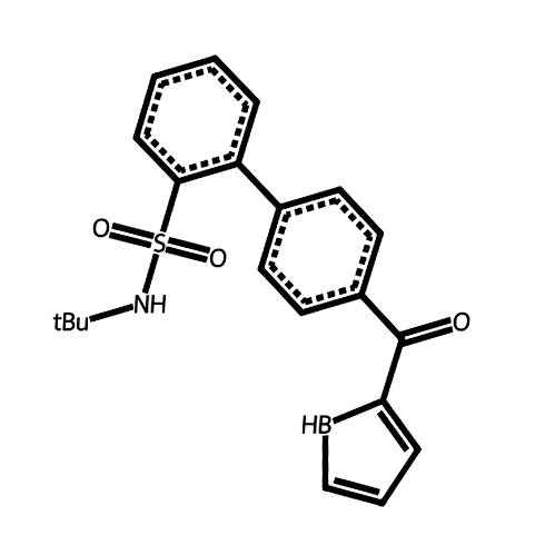 CC(C)(C)NS(=O)(=O)c1ccccc1-c1ccc(C(=O)C2=CC=CB2)cc1